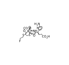 Nc1nc(C(=CCC(=O)O)C(=O)N[C@@H]2C(=O)N3C(OC(=O)O)=C(SCCF)CS[C@@H]23)cs1